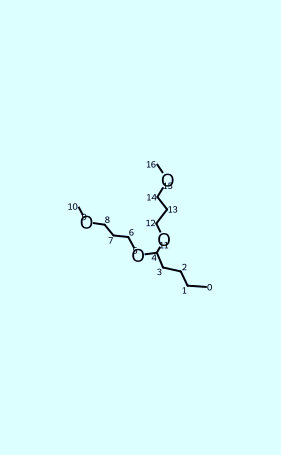 CCCCC(OCCCOC)OCCCOC